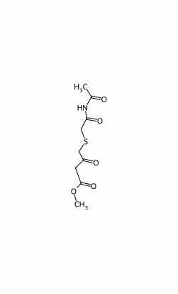 COC(=O)CC(=O)CSCC(=O)NC(C)=O